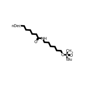 CCCCCCCCCCCCCCCC(=O)NCCCCCCOP(C)(=O)C(C)(C)C